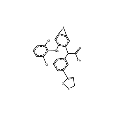 O=C(O)C(c1cccc(C2=CCSS2)c1)c1cc2c(cc1Nc1c(Cl)cccc1Cl)S2